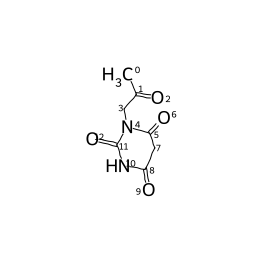 CC(=O)CN1C(=O)CC(=O)NC1=O